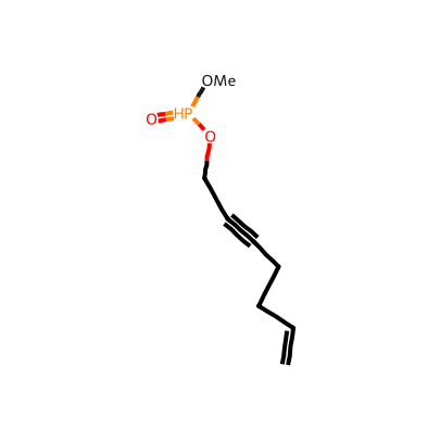 C=CCCC#CCO[PH](=O)OC